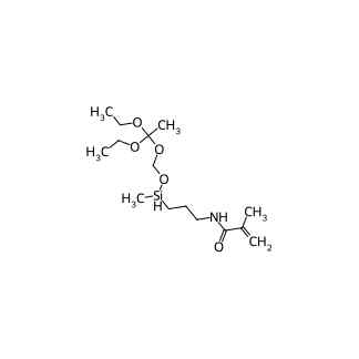 C=C(C)C(=O)NCCC[SiH](C)OCOC(C)(OCC)OCC